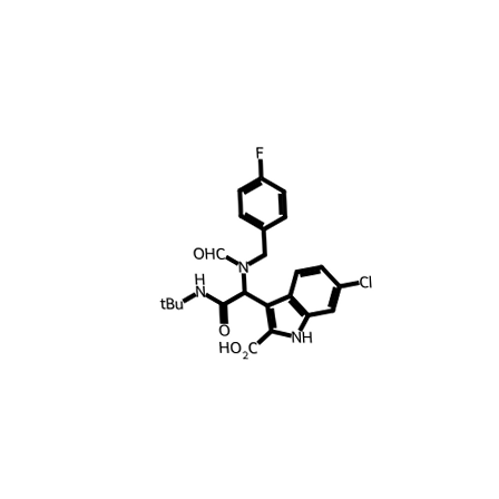 CC(C)(C)NC(=O)C(c1c(C(=O)O)[nH]c2cc(Cl)ccc12)N(C=O)Cc1ccc(F)cc1